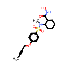 CC#CCOc1ccc(S(=O)(=O)N(C)C2CCCCC2C(=O)NO)cc1